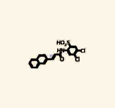 O=C(/C=C/c1ccc2ccccc2c1)Nc1cc(Cl)c(Cl)cc1S(=O)(=O)O